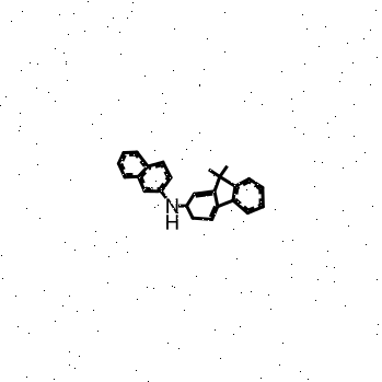 CC1(C)C2=CC(Nc3ccc4ccccc4c3)CC=C2c2ccccc21